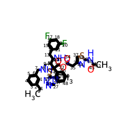 CCc1cccc(CNC[C@H]([C@@H](N)Cc2cc(F)cc(F)c2)C(Sc2nncn2C)(C(=O)OC(=O)Cc2csc(NC(C)=O)n2)c2ccccc2)c1